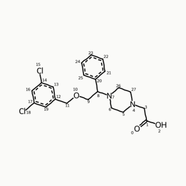 O=C(O)CN1CCN(C(COCc2cc(Cl)cc(Cl)c2)c2ccccc2)CC1